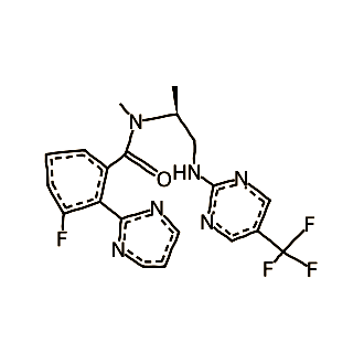 C[C@@H](CNc1ncc(C(F)(F)F)cn1)N(C)C(=O)c1cccc(F)c1-c1ncccn1